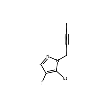 CC#CCn1n[c]c(F)c1CC